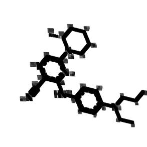 CCCN(CC)c1ccc(Nc2nc(N3CCCC[C@H]3C)cnc2C#N)cc1